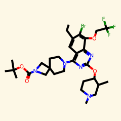 CCc1cc2c(N3CCC4(CC3)CN(C(=O)OC(C)(C)C)C4)nc(OC3CCN(C)CC3C)nc2c(OCC(F)(F)F)c1Br